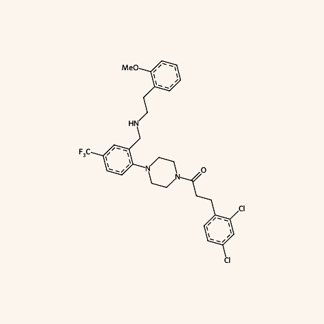 COc1ccccc1CCNCc1cc(C(F)(F)F)ccc1N1CCN(C(=O)CCc2ccc(Cl)cc2Cl)CC1